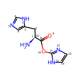 N[C@@H](Cc1cnc[nH]1)C(=O)Oc1ncc[nH]1